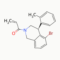 C=CC(=O)N1Cc2cccc(Br)c2[C@H](c2ccccc2C)C1